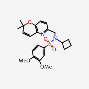 COc1ccc(S(=O)(=O)N(Cc2ccc3c(n2)C=CC(C)(C)O3)C2CCC2)cc1OC